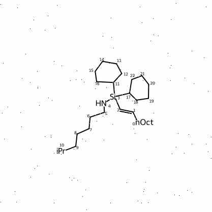 CCCCCCCCC=C[Si](NCCCCCC(C)C)(C1CCCCC1)C1CCCCC1